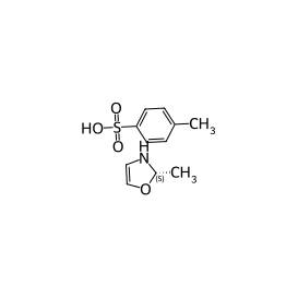 C[C@H]1NC=CO1.Cc1ccc(S(=O)(=O)O)cc1